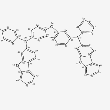 c1ccc(N(c2ccc3c(c2)oc2ccccc23)c2ccc3c(c2)oc2ccc(N(c4ccccc4)c4ccc5c(c4)oc4ccccc45)cc23)cc1